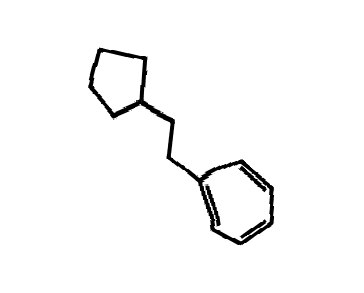 c1ccc(CC[C]2CCCC2)cc1